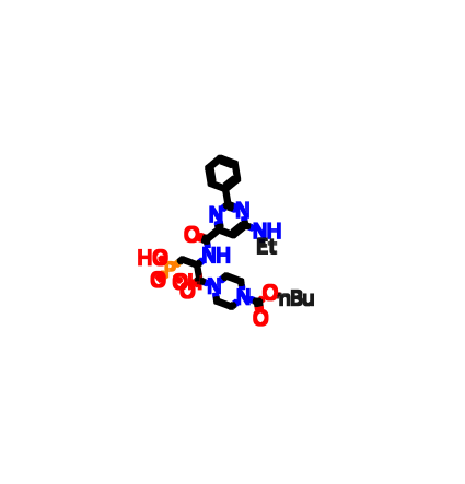 CCCCOC(=O)N1CCN(C(=O)C(CP(=O)(O)O)NC(=O)c2cc(NCC)nc(-c3ccccc3)n2)CC1